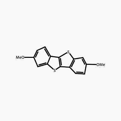 COc1ccc2c(c1)sc1c3ccc(OC)cc3sc21